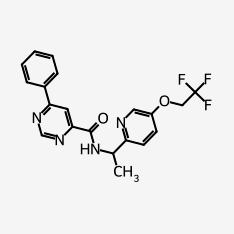 CC(NC(=O)c1cc(-c2ccccc2)ncn1)c1ccc(OCC(F)(F)F)cn1